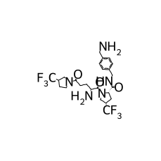 NCc1ccc(CNC(=O)[C@@H]2C[C@H](C(F)(F)F)CN2C(=O)[C@H](N)CCC(=O)N2CCC(C(F)(F)F)C2)cc1